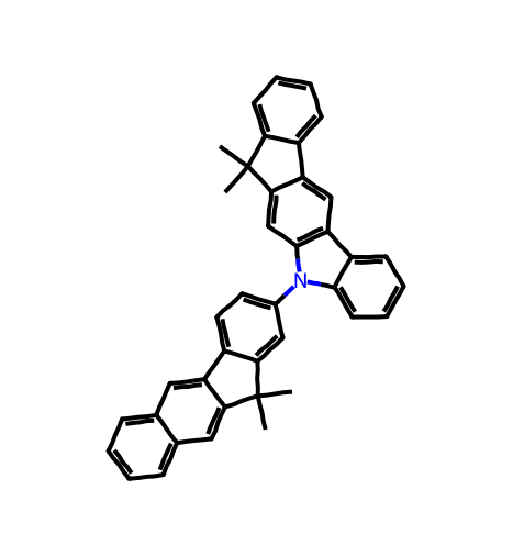 CC1(C)c2cc(-n3c4ccccc4c4cc5c(cc43)C(C)(C)c3ccccc3-5)ccc2-c2cc3ccccc3cc21